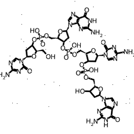 Nc1ncn([C@H]2CC(OP(=O)(O)OC[C@H]3O[C@@H](n4cnc5c(=O)[nH]c(N)nc54)CC3OP(=O)(O)OC[C@H]3O[C@@H](n4cnc(N)nc4=O)CC3OP(=O)(O)OC[C@H]3O[C@@H](n4cnc5c(=O)[nH]c(N)nc54)CC3O)[C@@H](CO)O2)c(=O)n1